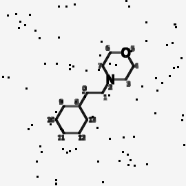 [CH](CN1CCOCC1)C1CCCCC1